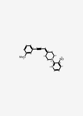 COc1cccc(C#CC=C2CCN(c3ncccc3N=O)CC2)c1